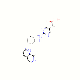 CC(C(=O)O)c1cnc(NC[C@H]2CC[C@H](Nc3ccc4ccnc(Cl)c4n3)CC2)nc1